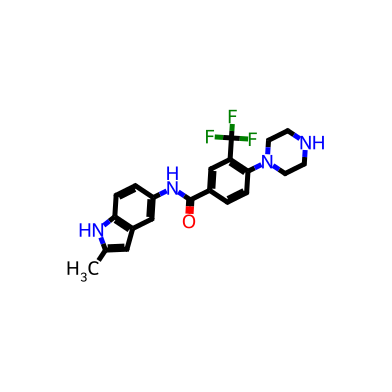 Cc1cc2cc(NC(=O)c3ccc(N4CCNCC4)c(C(F)(F)F)c3)ccc2[nH]1